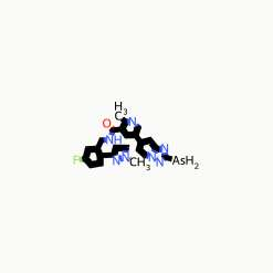 Cc1ncc(-c2ccn3nc([AsH2])nc3c2)cc1C(=O)NCc1cc(F)ccc1-c1ccn(C)n1